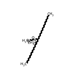 CCCCCC=CCC=CCCCCCCCCC(CCCCCCCCC=CCC=CCCCCC)CNC(=O)CCN(C)C